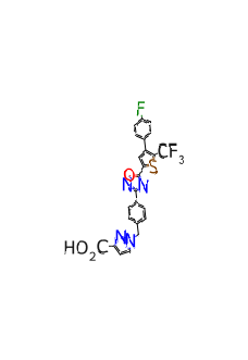 O=C(O)c1ccn(Cc2ccc(-c3noc(-c4cc(-c5ccc(F)cc5)c(C(F)(F)F)s4)n3)cc2)n1